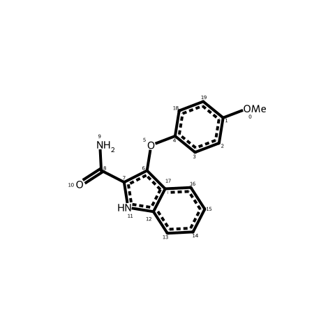 COc1ccc(Oc2c(C(N)=O)[nH]c3ccccc23)cc1